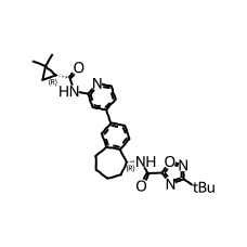 CC(C)(C)c1noc(C(=O)N[C@@H]2CCCCc3cc(-c4ccnc(NC(=O)[C@@H]5CC5(C)C)c4)ccc32)n1